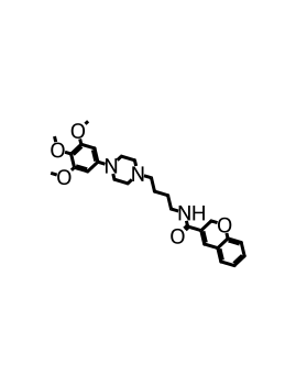 COc1cc(N2CCN(CCCCNC(=O)C3=Cc4ccccc4OC3)CC2)cc(OC)c1OC